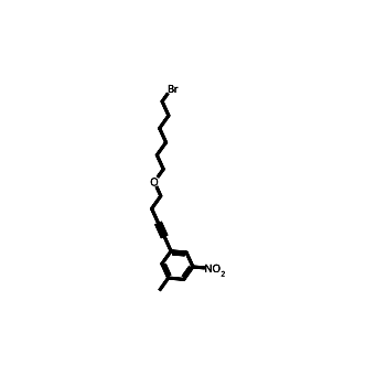 Cc1cc(C#CCCOCCCCCCBr)cc([N+](=O)[O-])c1